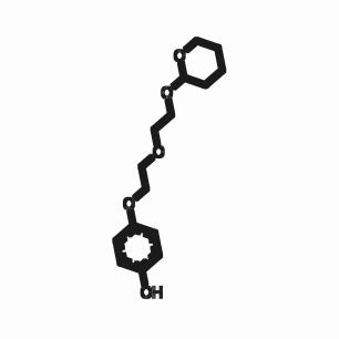 Oc1ccc(OCCOCCOC2CCCCO2)cc1